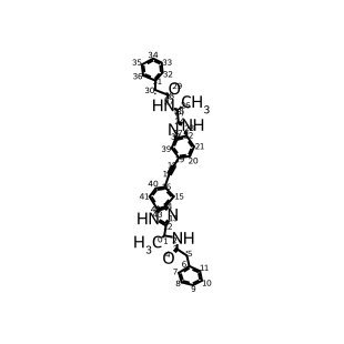 CC(NC(=O)[CH]c1ccccc1)c1nc2cc(C#Cc3ccc4[nH]c([C@H](C)NC(=O)[CH]c5ccccc5)nc4c3)ccc2[nH]1